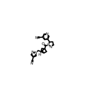 N#Cc1cncc(C2CC=NN2C(=O)C23CC(C2)[C@H](Cn2cc(C#N)cn2)C3)c1